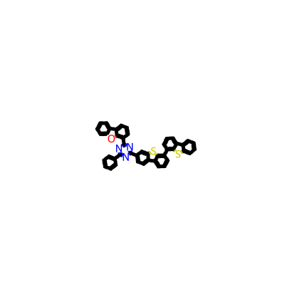 c1ccc(-c2nc(-c3ccc4c(c3)sc3c(-c5cccc6c5sc5ccccc56)cccc34)nc(-c3cccc4c3oc3ccccc34)n2)cc1